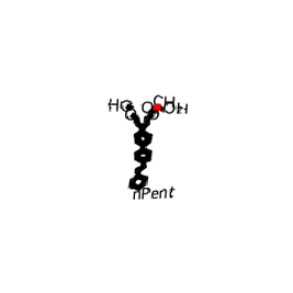 C=C(CO)C(=O)OCCC(CCOCO)c1ccc(-c2ccc(CCC3CCC(CCCCC)CC3)cc2)cc1